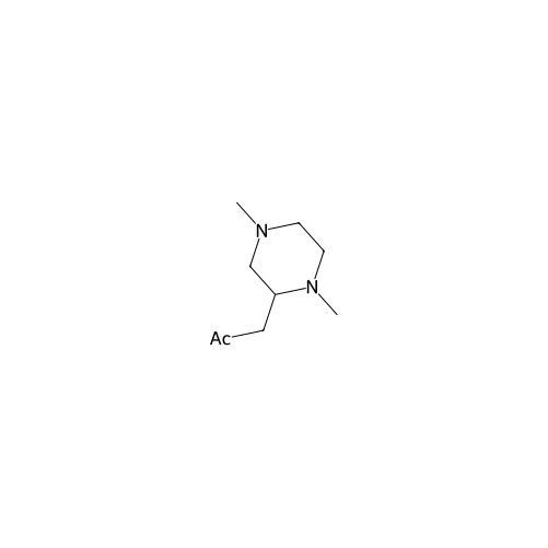 CC(=O)CC1CN(C)CCN1C